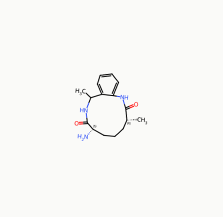 CC1NC(=O)[C@@H](N)CCC[C@@H](C)C(=O)Nc2ccccc21